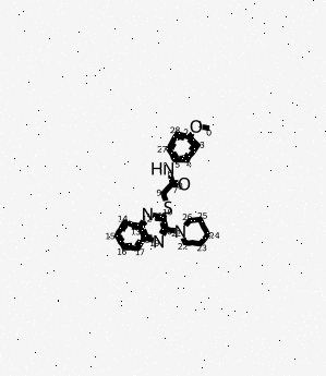 COc1ccc(NC(=O)CSc2nc3ccccc3nc2N2CCCCC2)cc1